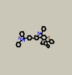 c1ccc(-c2nc(-c3ccc(-c4ccc5c(c4)nc(-c4ccccc4)c4cc6c(cc45)C4(c5ccccc5S6)c5ccccc5-c5ccccc54)cc3)c3ccccc3n2)cc1